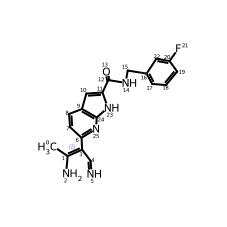 C/C(N)=C(/C=N)c1ccc2cc(C(=O)NCc3cccc(F)c3)[nH]c2n1